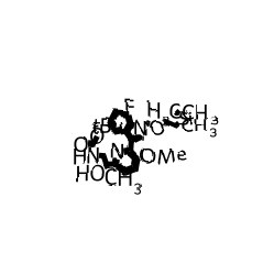 COc1ccc(C(C)(O)CNC(=O)OC(C)(C)C)nc1-c1cn(COCC[Si](C)(C)C)c2c(F)cccc12